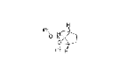 CC(C)O[C@@H]1[C@@H]2CC[C@H]1CN(OC(C)C)C2